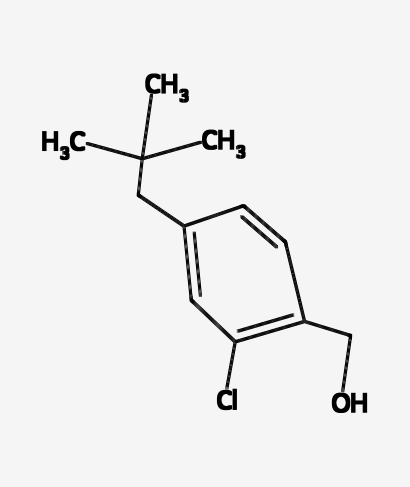 CC(C)(C)Cc1ccc(CO)c(Cl)c1